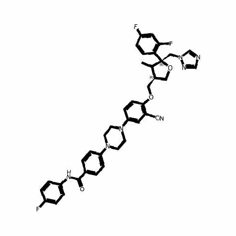 CC1[C@H](COc2ccc(N3CCN(c4ccc(C(=O)Nc5ccc(F)cc5)cc4)CC3)cc2C#N)CO[C@@]1(Cn1cncn1)c1ccc(F)cc1F